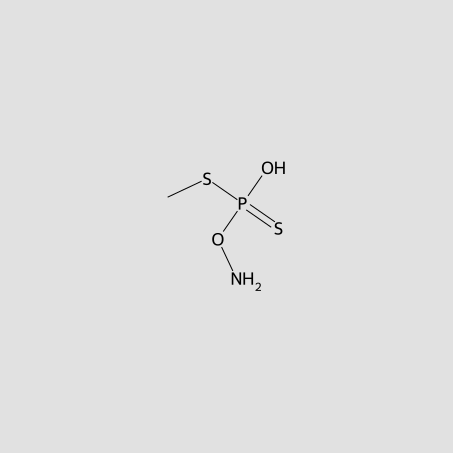 CSP(O)(=S)ON